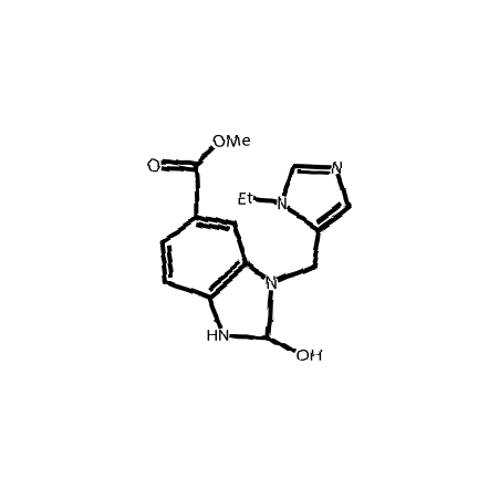 CCn1cncc1CN1c2cc(C(=O)OC)ccc2NC1O